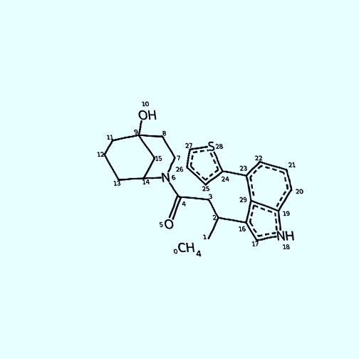 C.CC(CC(=O)N1CCC2(O)CCCC1C2)c1c[nH]c2cccc(-c3cccs3)c12